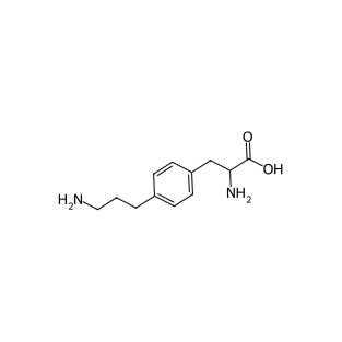 NCCCc1ccc(CC(N)C(=O)O)cc1